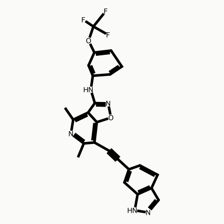 Cc1nc(C)c2c(Nc3cccc(OC(F)(F)F)c3)noc2c1C#Cc1ccc2cn[nH]c2c1